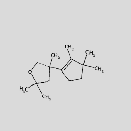 CC1=C(C2(C)COC(C)(C)C2)CCC1(C)C